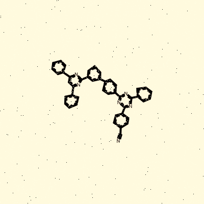 N#Cc1ccc(-c2nc(-c3ccccc3)nc(-c3ccc(-c4cccc(-c5nc(-c6ccccc6)cc(-c6ccccc6)n5)c4)cc3)n2)cc1